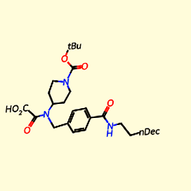 CCCCCCCCCCCCNC(=O)c1ccc(CN(C(=O)C(=O)O)C2CCN(C(=O)OC(C)(C)C)CC2)cc1